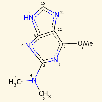 COc1nc(N(C)C)nc2[nH]cnc12